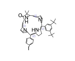 CC(C)(C)c1cc(/C2=C3\CC/C(=C(\c4ccc(I)cc4)C4=N/C(=C\C5NC(/C=C6/C=CC2=N6)C(C)(C)C5=O)C=C4)N3)cc(C(C)(C)C)c1